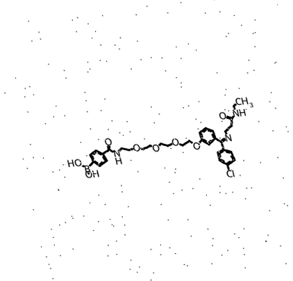 CCNC(=O)CC/N=C(/c1ccc(Cl)cc1)c1cccc(OCCOCCOCCOCCNC(=O)c2ccc(B(O)O)cc2)c1